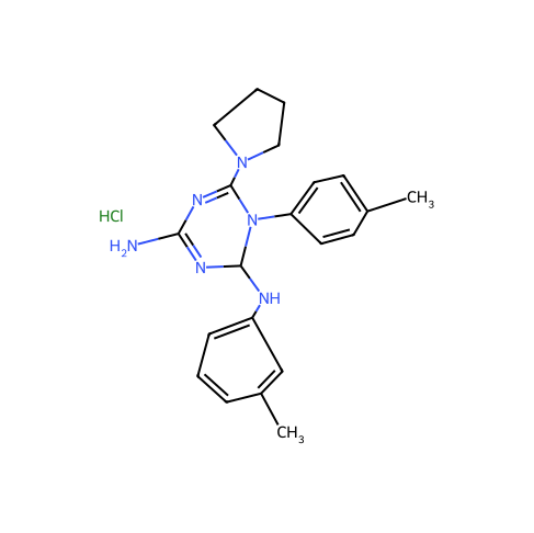 Cc1ccc(N2C(N3CCCC3)=NC(N)=NC2Nc2cccc(C)c2)cc1.Cl